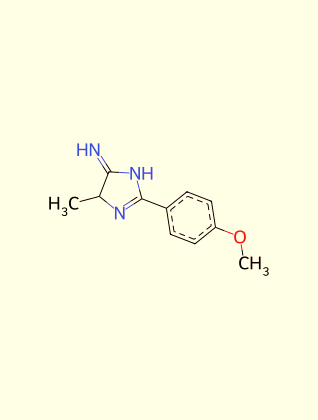 COc1ccc(C2=NC(C)C(=N)N2)cc1